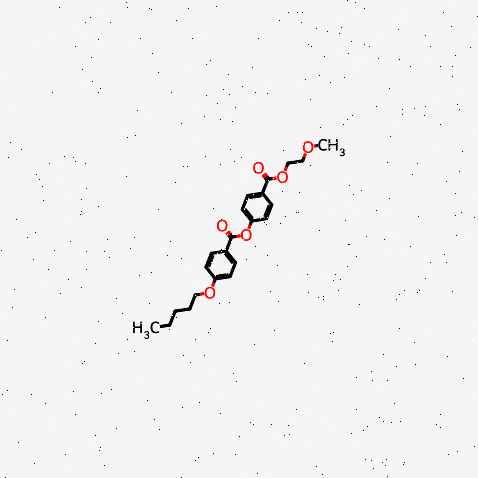 CCCCCOc1ccc(C(=O)Oc2ccc(C(=O)OCCOC)cc2)cc1